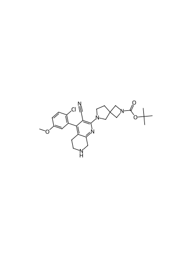 COc1ccc(Cl)c(-c2c(C#N)c(N3CCC4(CN(C(=O)OC(C)(C)C)C4)C3)nc3c2CCNC3)c1